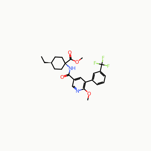 CC[C@H]1CC[C@](NC(=O)c2cnc(OC)c(-c3cccc(C(F)(F)F)c3)c2)(C(=O)OC)CC1